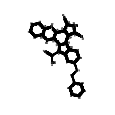 O=C(O)n1c2cc(OCc3ccccc3)ccc2c2c3c(=O)[nH]c(=O)c3c3oc4ccccc4oc3c21